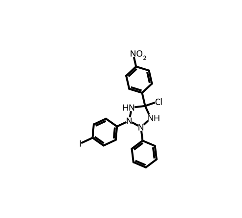 O=[N+]([O-])c1ccc(C2(Cl)NN(c3ccccc3)N(c3ccc(I)cc3)N2)cc1